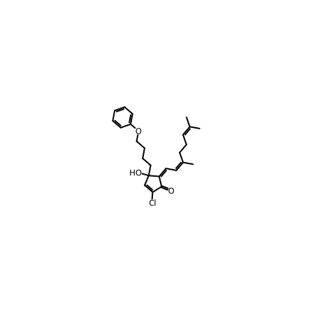 CC(C)=CCCC(C)=CC=C1C(=O)C(Cl)=CC1(O)CCCCOc1ccccc1